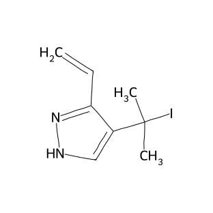 C=Cc1n[nH]cc1C(C)(C)I